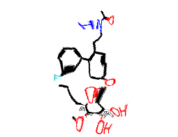 C=CC[C@H]1O[C@@H](Oc2ccc(CCNC(C)=O)c(-c3cccc(F)c3)c2)[C@H](O)[C@H](O)[C@H]1OC